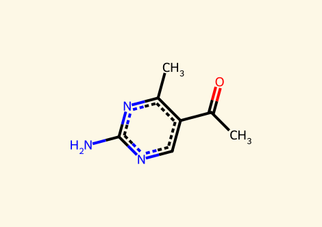 CC(=O)c1cnc(N)nc1C